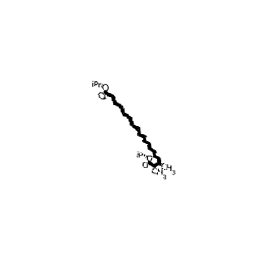 CC(C)OC(=O)CCCCCCCCCCCCCCCC(C)C(C)C(=O)OC(C)C